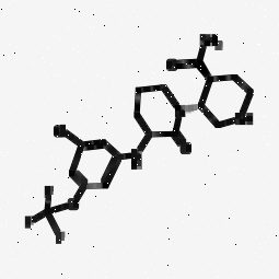 NC(=O)[C@H]1CCNC[C@@H]1N1CCCC(Nc2cc(Cl)cc(OC(F)(F)F)c2)C1=O